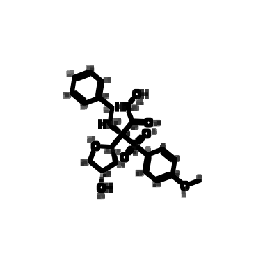 COc1ccc(S(=O)(=O)[C@@](NCc2ccccc2)(C(=O)NO)[C@H]2C[C@H](O)CO2)cc1